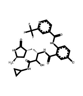 C[C@@H]1C[C@@H](C[C@H](NC(=O)c2cc(Cl)ccc2NC(=O)c2ccnc(C(F)(F)F)c2)C(O)C(=O)NC2CC2)C(=O)N1